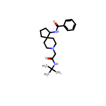 CC(C)(C)NC(=O)CN1CCC2(CCCC2NC(=O)c2ccccc2)CC1